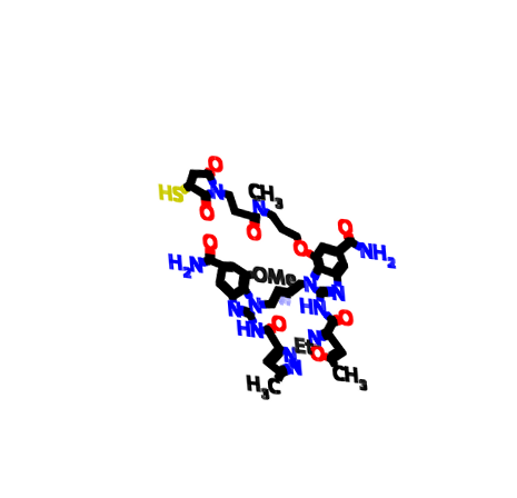 CCn1nc(C)cc1C(=O)Nc1nc2cc(C(N)=O)cc(OC)c2n1C/C=C/Cn1c(NC(=O)c2cc(C)on2)nc2cc(C(N)=O)cc(OCCCN(C)C(=O)CCN3C(=O)CC(S)C3=O)c21